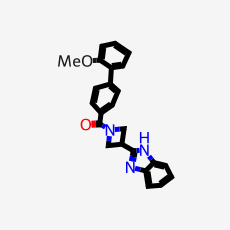 COc1ccccc1-c1ccc(C(=O)N2CC(c3nc4ccccc4[nH]3)C2)cc1